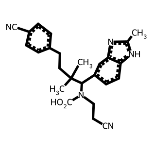 Cc1nc2cc(C(N(CCC#N)C(=O)O)C(C)(C)CCc3ccc(C#N)cc3)ccc2[nH]1